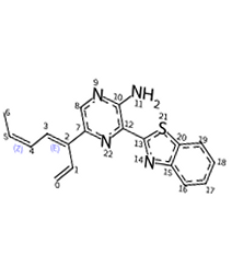 C=C/C(=C\C=C/C)c1cnc(N)c(-c2nc3ccccc3s2)n1